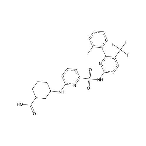 Cc1ccccc1-c1nc(NS(=O)(=O)c2cccc(NC3CCCC(C(=O)O)C3)n2)ccc1C(F)(F)F